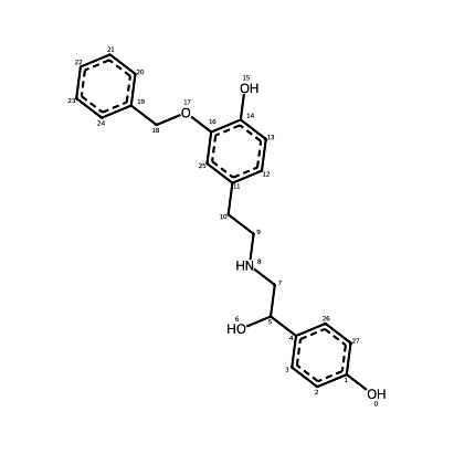 Oc1ccc(C(O)CNCCc2ccc(O)c(OCc3ccccc3)c2)cc1